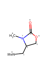 CNCC1COC(=O)N1C